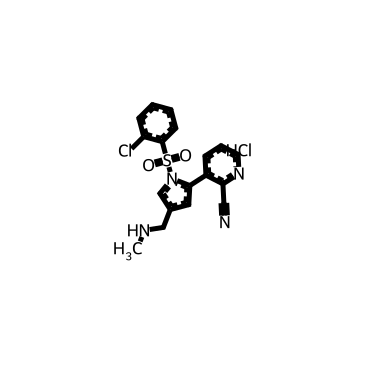 CNCc1cc(-c2cccnc2C#N)n(S(=O)(=O)c2ccccc2Cl)c1.Cl